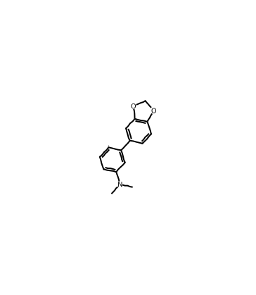 CN(C)c1cc[c]c(-c2ccc3c(c2)OCO3)c1